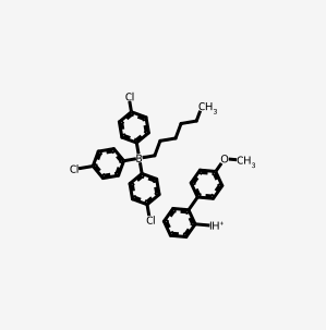 CCCCCC[B-](c1ccc(Cl)cc1)(c1ccc(Cl)cc1)c1ccc(Cl)cc1.COc1ccc(-c2ccccc2[IH+])cc1